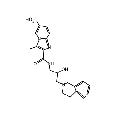 Cc1c(C(=O)NCC(O)CN2CCc3ccccc3C2)nc2ccc(C(=O)O)cn12